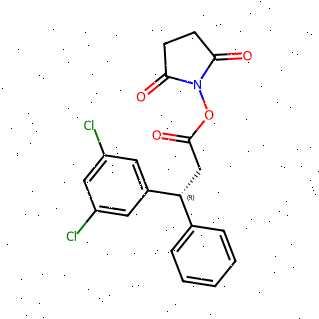 O=C(C[C@H](c1ccccc1)c1cc(Cl)cc(Cl)c1)ON1C(=O)CCC1=O